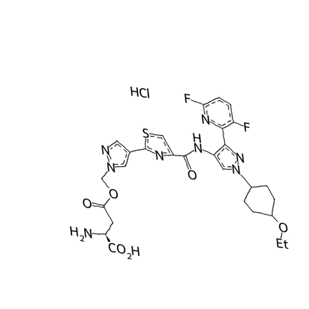 CCOC1CCC(n2cc(NC(=O)c3csc(-c4cnn(COC(=O)C[C@H](N)C(=O)O)c4)n3)c(-c3nc(F)ccc3F)n2)CC1.Cl